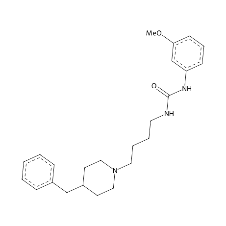 COc1cccc(NC(=O)NCCCCN2CCC(Cc3ccccc3)CC2)c1